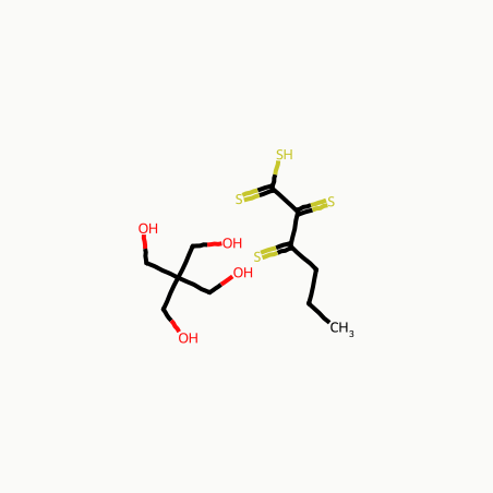 CCCC(=S)C(=S)C(=S)S.OCC(CO)(CO)CO